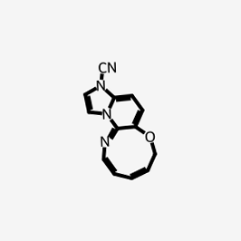 N#CN1C=CN2C1=CC=C1OCC=CC=CN=C12